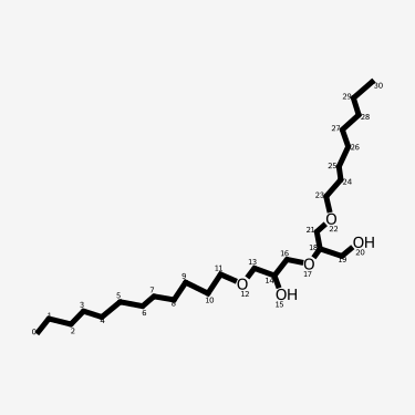 CCCCCCCCCCCCOCC(O)COC(CO)COCCCCCCCC